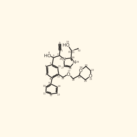 C#CC(C(O)c1ccc(-c2ccccc2)c(COCC2COCCO2)c1)n1ccnc1[C@H](C)O